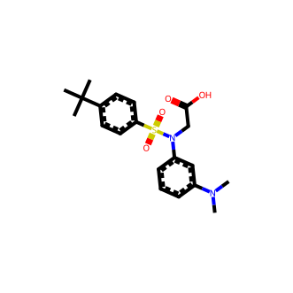 CN(C)c1cccc(N(CC(=O)O)S(=O)(=O)c2ccc(C(C)(C)C)cc2)c1